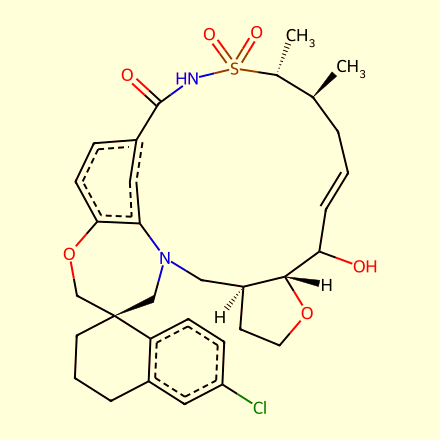 C[C@@H]1[C@@H](C)C/C=C/C(O)[C@@H]2OCC[C@H]2CN2C[C@@]3(CCCc4cc(Cl)ccc43)COc3ccc(cc32)C(=O)NS1(=O)=O